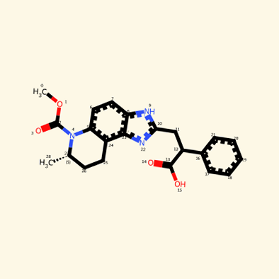 COC(=O)N1c2ccc3[nH]c(CC(C(=O)O)c4ccccc4)nc3c2CC[C@@H]1C